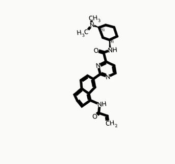 C=CC(=O)Nc1cccc2ccc(-c3nccc(C(=O)N[C@@H]4CCC[C@H](N(C)C)C4)n3)cc12